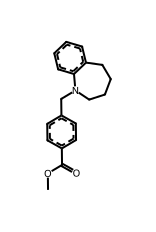 COC(=O)c1ccc(CN2CCCCc3ccccc32)cc1